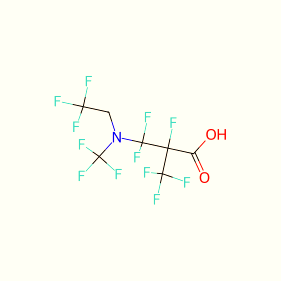 O=C(O)C(F)(C(F)(F)F)C(F)(F)N(CC(F)(F)F)C(F)(F)F